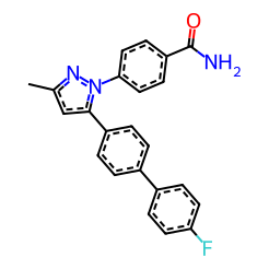 Cc1cc(-c2ccc(-c3ccc(F)cc3)cc2)n(-c2ccc(C(N)=O)cc2)n1